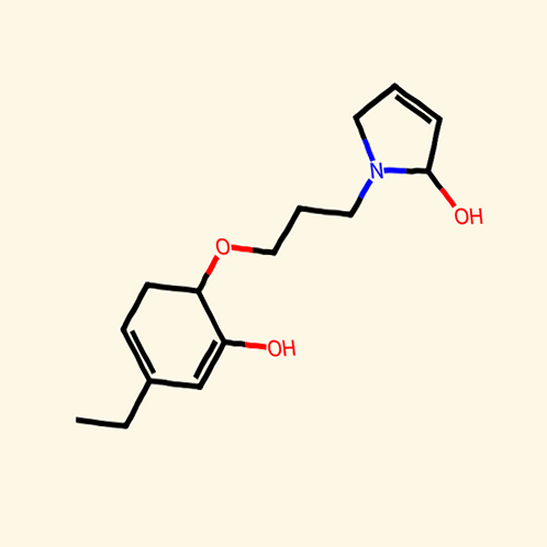 CCC1=CCC(OCCCN2CC=CC2O)C(O)=C1